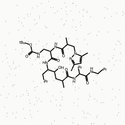 Cc1cc(C)n(CC(C)C(=O)NC(CNC(=O)OC(C)(C)C)C(=O)NC(CC(C)C)C(O)CC(C)C(=O)NC(C(=O)NCC(C)C)C(C)C)n1